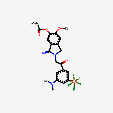 CCOc1cc2c(cc1OC(=O)NC)C(=N)N(CC(=O)c1cc(N(C)C(C)=O)cc(S(F)(F)(F)(F)F)c1)C2